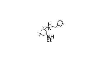 CCNC1CC(C)(C)CC(C)(CNCCc2ccccc2)C1